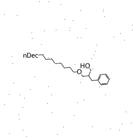 CCCCCCCCCCCCCCCCCCOCC(CO)Cc1ccccc1